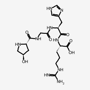 N=C(N)NCCC[C@H](NC(=O)[C@H](Cc1c[nH]cn1)NC(=O)CNC(=O)[C@@H]1C[C@@H](O)CN1)C(=O)O